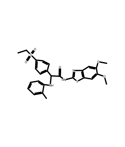 CCS(=O)(=O)c1ccc(C(Nc2ccccc2C)C(=O)Nc2nc3cc(OC)c(OC)cc3s2)cc1